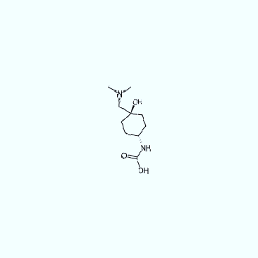 CN(C)C[C@]1(O)CC[C@H](NC(=O)O)CC1